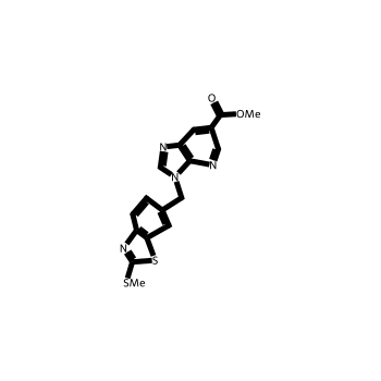 COC(=O)c1cnc2c(c1)ncn2Cc1ccc2nc(SC)sc2c1